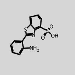 Nc1ccccc1-c1nc2c(S(=O)(=O)O)cccc2s1